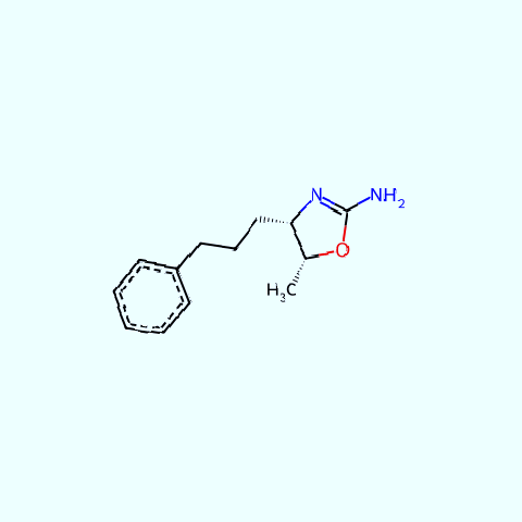 C[C@H]1OC(N)=N[C@H]1CCCc1ccccc1